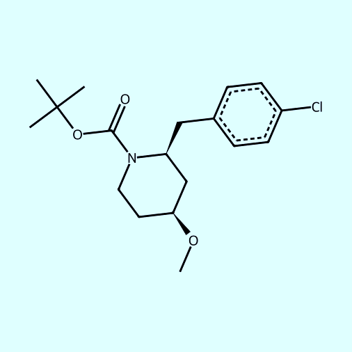 CO[C@H]1CCN(C(=O)OC(C)(C)C)[C@@H](Cc2ccc(Cl)cc2)C1